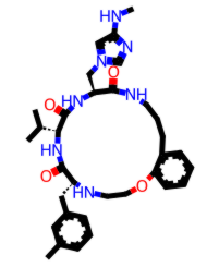 CNc1cn(C[C@@H]2NC(=O)[C@@H](C(C)C)NC(=O)[C@@H](Cc3cccc(C)c3)NCCOc3ccccc3CCCNC2=O)cn1